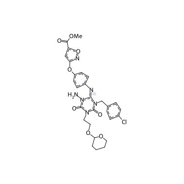 COC(=O)c1cc(Oc2ccc(/N=c3\n(N)c(=O)n(CCOC4CCCCO4)c(=O)n3Cc3ccc(Cl)cc3)cc2)no1